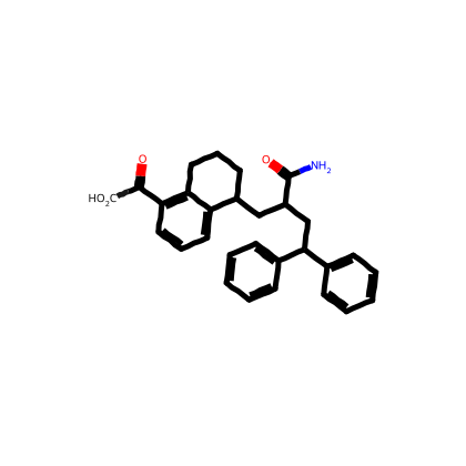 NC(=O)C(CC1CCCc2c(C(=O)C(=O)O)cccc21)CC(c1ccccc1)c1ccccc1